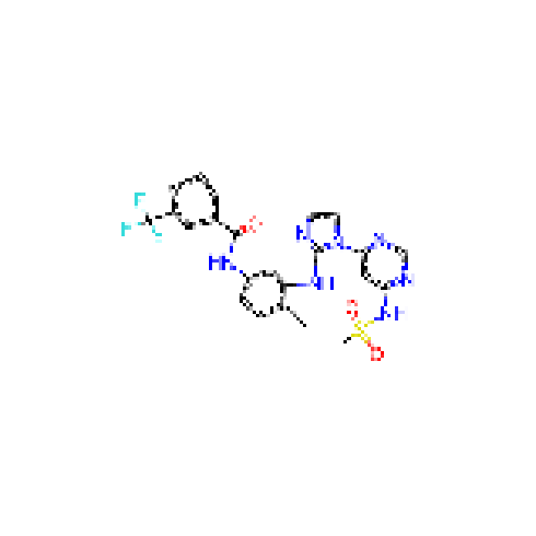 Cc1ccc(NC(=O)c2cccc(C(F)(F)F)c2)cc1Nc1nccn1-c1cc(NS(C)(=O)=O)ncn1